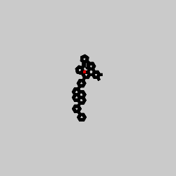 Cc1cc2c3cc(-c4ccc(-c5ccc6ccc7c(-c8cccc(-c9ccccc9)c8)ccc8ccc5c6c87)cc4)ccc3c3c(ccc4c5ccccc5n(-c5ccccc5)c43)c2cc1C